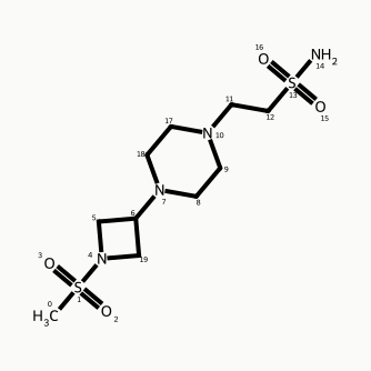 CS(=O)(=O)N1CC(N2CCN(CCS(N)(=O)=O)CC2)C1